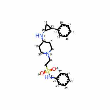 O=S(=O)(CCN1CCC(N[C@@H]2C[C@H]2c2ccccc2)CC1)Nc1ccccc1